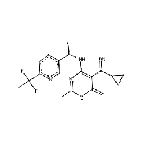 C=C1NC(C)=NC(NC(C)c2ccc(C(C)(F)F)nc2)=C1C(=N)C1CC1